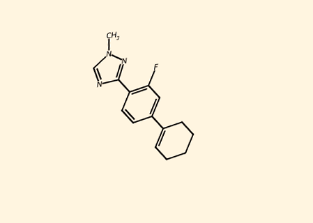 Cn1cnc(-c2ccc(C3=CCCCC3)cc2F)n1